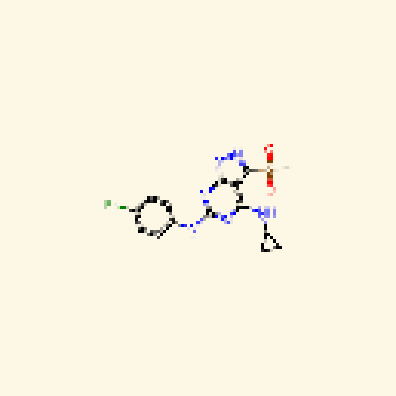 CS(=O)(=O)c1n[nH]c2nc(Nc3ccc(Br)cc3)nc(NC3CC3)c12